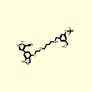 N#Cc1[nH]ncc1-c1cc(OCCOCCCCNCc2cc(CO)cc(OC(F)(F)F)c2)c2cn[nH]c2c1